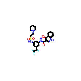 O=C(Nc1cc(NS(=O)(=O)CCN2CCCCC2)cc(C(F)C(F)F)c1)c1c[nH]c2ccccc2c1=O